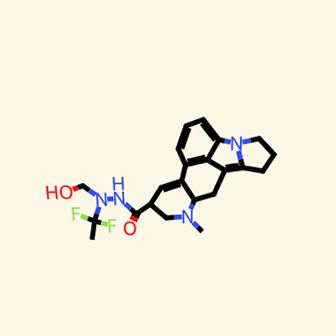 CN1CC(C(=O)NN(CO)C(C)(F)F)C=C2c3cccc4c3c(c3n4CCC3)CC21